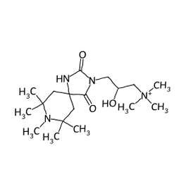 CN1C(C)(C)CC2(CC1(C)C)NC(=O)N(CC(O)C[N+](C)(C)C)C2=O